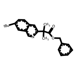 CC(C)(C)c1ccc2cc(C(C)(C)C(=O)OCc3ccccc3)ncc2c1